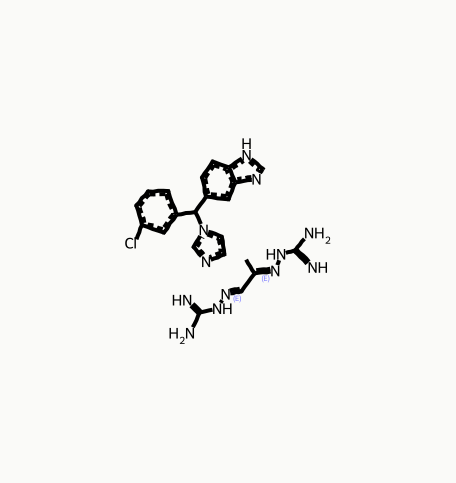 CC(/C=N/NC(=N)N)=N\NC(=N)N.Clc1cccc(C(c2ccc3[nH]cnc3c2)n2ccnc2)c1